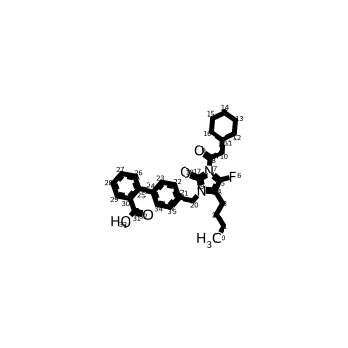 CCCCc1c(F)n(C(=O)CC2CCCCC2)c(=O)n1Cc1ccc(-c2ccccc2C(=O)O)cc1